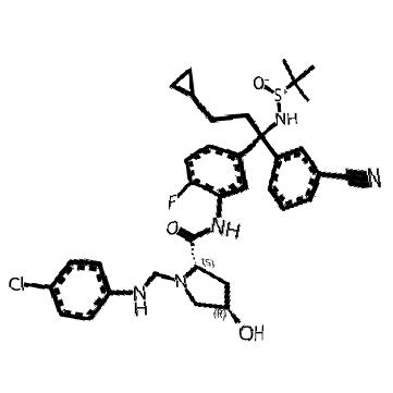 CC(C)(C)[S+]([O-])NC(CCC1CC1)(c1cccc(C#N)c1)c1ccc(F)c(NC(=O)[C@@H]2C[C@@H](O)CN2CNc2ccc(Cl)cc2)c1